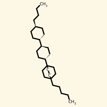 CCCCCC12CCC([C@H]3CC[C@H]([C@H]4CC[C@H](CCCC)CC4)CC3)(CC1)CC2